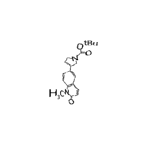 Cn1c(=O)ccc2cc(C3=CCN(C(=O)OC(C)(C)C)C3)ccc21